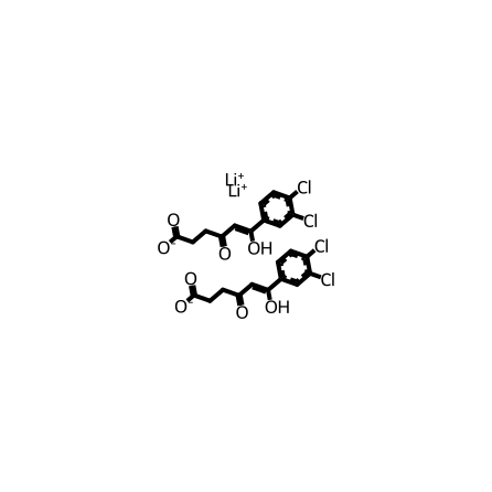 O=C([O-])CCC(=O)C=C(O)c1ccc(Cl)c(Cl)c1.O=C([O-])CCC(=O)C=C(O)c1ccc(Cl)c(Cl)c1.[Li+].[Li+]